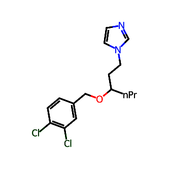 CCCC(CCn1ccnc1)OCc1ccc(Cl)c(Cl)c1